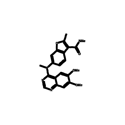 CNC(=O)c1c(C)oc2cc(N(C)c3ncnc4cc(OC)c(OC)cc34)ccc12